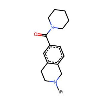 CC(C)N1CCc2cc(C(=O)N3CCCCC3)ccc2C1